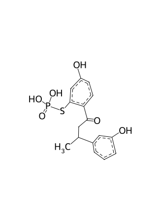 CC(CC(=O)c1ccc(O)cc1SP(=O)(O)O)c1cccc(O)c1